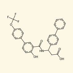 O=C(O)CC(NC(=O)c1cc(-c2ccc(OC(F)(F)F)cc2)ccc1O)c1ccc(-c2ccccc2)cc1